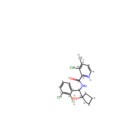 O=C(NC(c1cccc(Cl)c1Cl)C1(O)CCCC1)c1nccc(C(F)(F)F)c1Cl